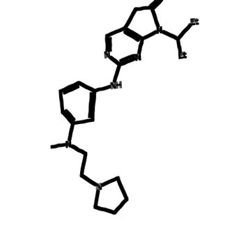 CCC(CC)N1C(=O)Cc2cnc(Nc3cccc(N(C)CCN4CCCC4)c3)nc21